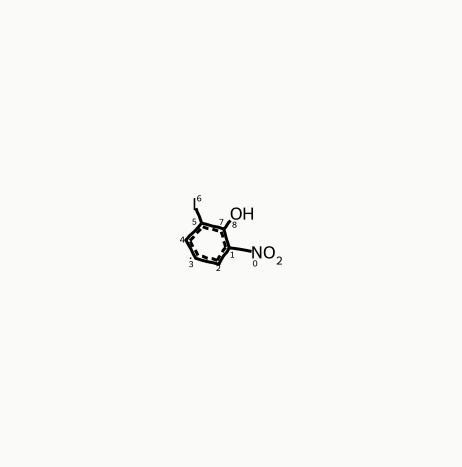 O=[N+]([O-])c1c[c]cc(I)c1O